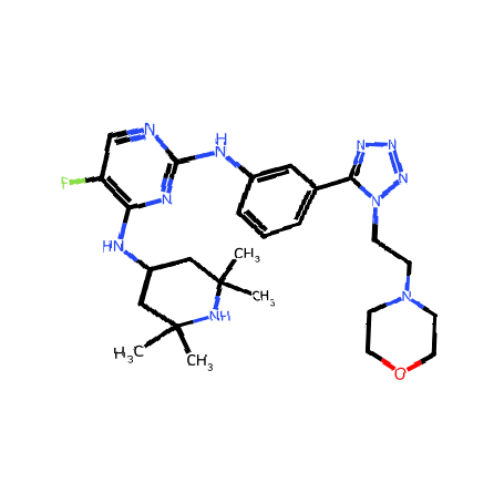 CC1(C)CC(Nc2nc(Nc3cccc(-c4nnnn4CCN4CCOCC4)c3)ncc2F)CC(C)(C)N1